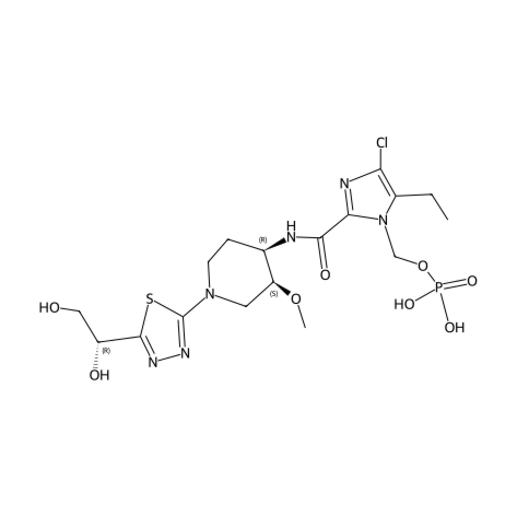 CCc1c(Cl)nc(C(=O)N[C@@H]2CCN(c3nnc([C@H](O)CO)s3)C[C@@H]2OC)n1COP(=O)(O)O